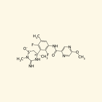 COc1cnc(C(=O)Nc2cc(C)c(F)c([C@]3(C)C[S+]([O-])N(C)C(=N)N3)c2F)cn1